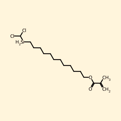 C=C(C)C(=O)OCCCCCCCCCCCC[SiH2]C(Cl)Cl